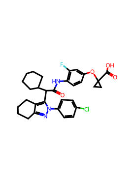 O=C(Nc1ccc(OC2(C(=O)O)CC2)cc1F)C(c1c2c(nn1-c1ccc(Cl)cc1)CCCC2)C1CCCCC1